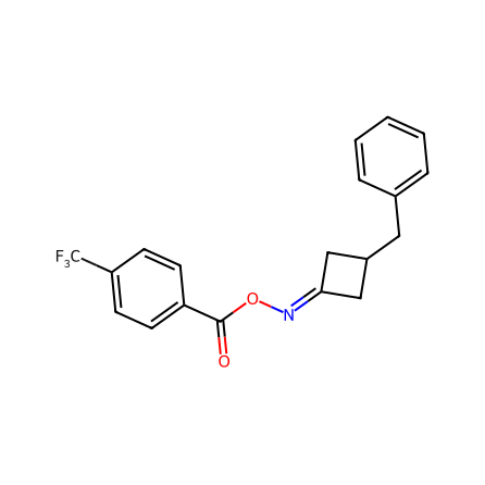 O=C(ON=C1CC(Cc2ccccc2)C1)c1ccc(C(F)(F)F)cc1